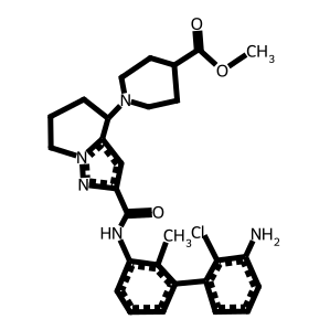 COC(=O)C1CCN(C2CCCn3nc(C(=O)Nc4cccc(-c5cccc(N)c5Cl)c4C)cc32)CC1